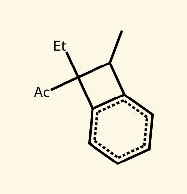 CCC1(C(C)=O)c2ccccc2C1C